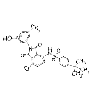 Cc1cc(N2C(=O)c3c(Cl)ccc(NS(=O)(=O)c4ccc(C(C)(C)C)cc4)c3C2=O)c[n+](O)c1